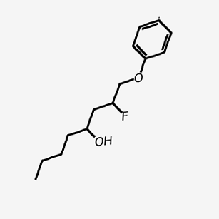 CCCCC(O)CC(F)COc1cc[c]cc1